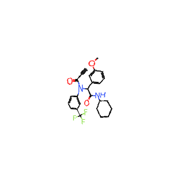 C#CC(=O)N(c1cccc(C(F)(F)F)c1)C(C(=O)NC1CCCCC1)c1cccc(OC)c1